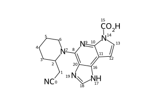 N#CCC1CCCCN1c1nc2c(ccn2C(=O)O)c2[nH]cnc12